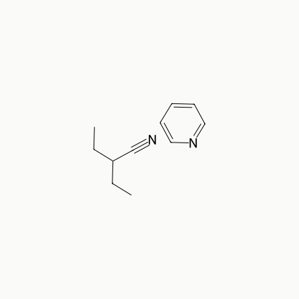 CCC(C#N)CC.c1ccncc1